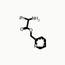 CC(C)C(N)C(=O)OCc1ccccn1